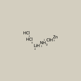 Cl.Cl.Cl.N.[LiH].[Zn]